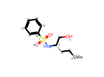 CSCC[C@@H](CO)NS(=O)(=O)c1ccccc1